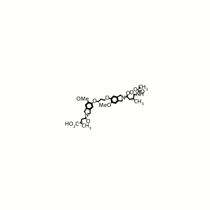 COc1cc2c(cc1OCCCOc1cc3c(cc1OC)CN(C(=O)C[C@H](C)C(=O)NS(C)(=O)=O)C3)CN(C(=O)C[C@H](C)C(=O)O)C2